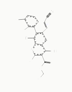 CCOC(=O)c1c(C)nc2c(F)c(-c3cccc(Cl)c3Cl)c(/C=C/C#N)cc2c1O